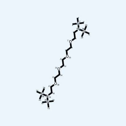 C[Si](C)(C)N(CCOCCOCCOCCOCCN([Si](C)(C)C)[Si](C)(C)C)[Si](C)(C)C